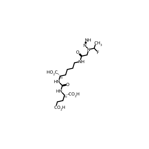 CC(F)N(CC(=O)NCCCC[C@H](NC(=O)N[C@@H](CCC(=O)O)C(=O)O)C(=O)O)N=N